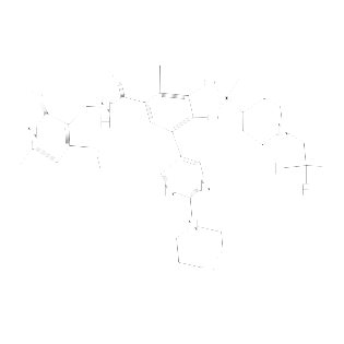 CSc1cc(C)[nH]c(=O)c1CNC(=O)c1cc(-c2cnc(N3C[C@@H](C)O[C@@H](C)C3)nc2)c2c(c1C)OC(C)(C1CCN(CC(F)(F)F)CC1)O2